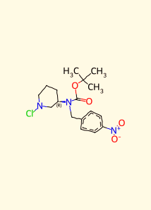 CC(C)(C)OC(=O)N(Cc1ccc([N+](=O)[O-])cc1)[C@@H]1CCCN(Cl)C1